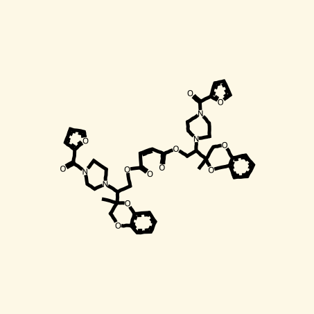 CC1(C(COC(=O)/C=C\C(=O)OCC(N2CCN(C(=O)c3ccco3)CC2)C2(C)COc3ccccc3O2)N2CCN(C(=O)c3ccco3)CC2)COc2ccccc2O1